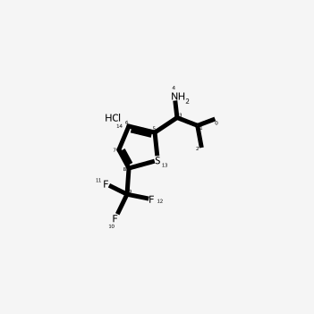 CC(C)C(N)c1ccc(C(F)(F)F)s1.Cl